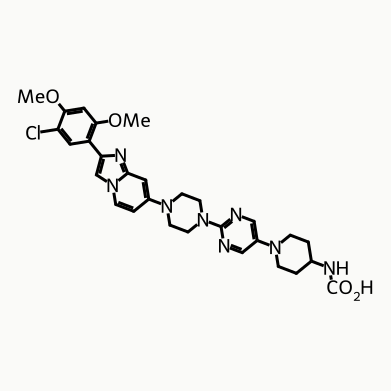 COc1cc(OC)c(-c2cn3ccc(N4CCN(c5ncc(N6CCC(NC(=O)O)CC6)cn5)CC4)cc3n2)cc1Cl